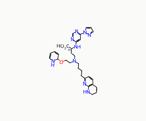 O=C(O)[C@H](CCN(CCCCc1ccc2c(n1)NCCC2)CCOC1C=CC=CN1)Nc1cc(-n2cccn2)ncn1